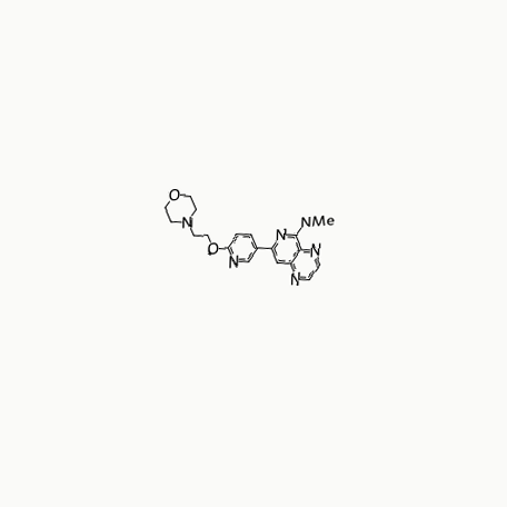 CNc1nc(-c2ccc(OCCN3CCOCC3)nc2)cc2nccnc12